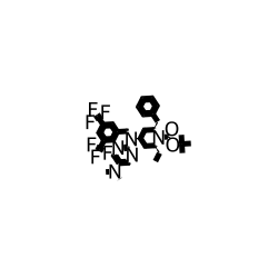 CC[C@@H]1C[C@H](N(Cc2cc(C(F)(F)F)cc(C(F)(F)F)c2)c2ncc(N(C)C)cn2)C[C@H](Cc2ccccc2)N1C(=O)OC(C)(C)C